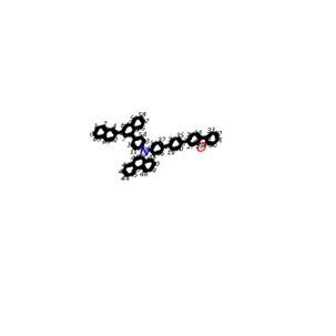 c1ccc2cc(-c3cc(-c4ccc(N(c5ccc(-c6ccc(-c7ccc8c(c7)oc7ccccc78)cc6)cc5)c5cc6ccccc6c6ccccc56)cc4)c4ccccc4c3)ccc2c1